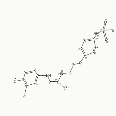 CCCC[C@H](CNc1ccc(Cl)c(Cl)c1)NCCOc1ccc(NS(C)(=O)=O)cc1